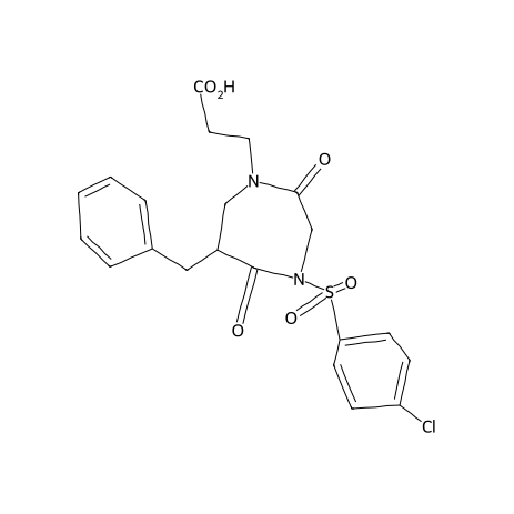 O=C(O)CCN1CC(Cc2ccccc2)C(=O)N(S(=O)(=O)c2ccc(Cl)cc2)CC1=O